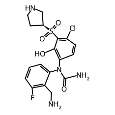 NCc1c(F)cccc1N(C(N)=O)c1ccc(Cl)c(S(=O)(=O)[C@H]2CCNC2)c1O